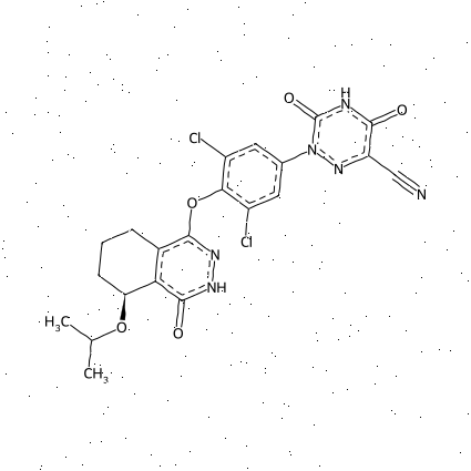 CC(C)O[C@H]1CCCc2c(Oc3c(Cl)cc(-n4nc(C#N)c(=O)[nH]c4=O)cc3Cl)n[nH]c(=O)c21